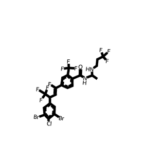 CC(NCCC(F)(F)F)NC(=O)c1ccc(/C(F)=C/C(c2cc(Br)c(Cl)c(Br)c2)C(F)(F)F)cc1C(F)(F)F